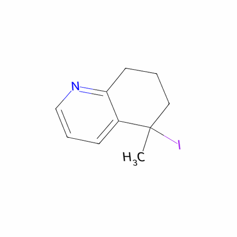 CC1(I)CCCc2ncccc21